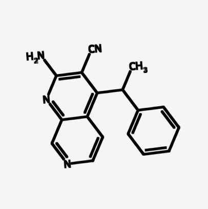 CC(c1ccccc1)c1c(C#N)c(N)nc2cnccc12